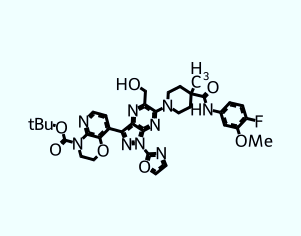 COc1cc(NC(=O)C2(C)CCN(c3nc4c(nc3CO)c(-c3ccnc5c3OCCN5C(=O)OC(C)(C)C)nn4-c3ncco3)CC2)ccc1F